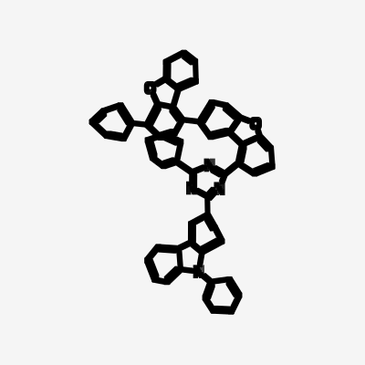 c1ccc(-c2nc(-c3ccc4c(c3)c3ccccc3n4-c3ccccc3)nc(-c3cccc4oc5ccc(-c6ccc(-c7ccccc7)c7oc8ccccc8c67)cc5c34)n2)cc1